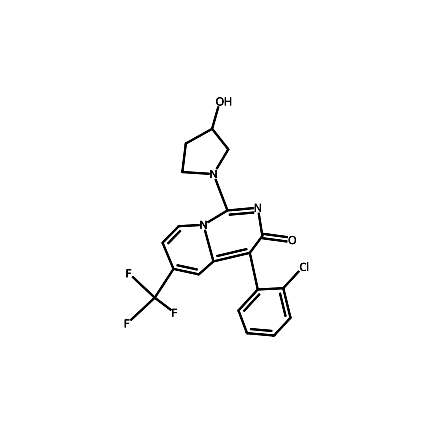 O=c1nc(N2CCC(O)C2)n2ccc(C(F)(F)F)cc2c1-c1ccccc1Cl